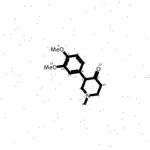 COc1ccc(C2CN(C)CCC2=O)cc1OC